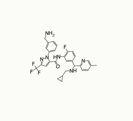 Cc1ccc(C(NCC2CC2)c2ccc(F)c(NC(=O)c3cc(C(F)(F)F)nn3-c3cccc(CN)c3)c2)nc1